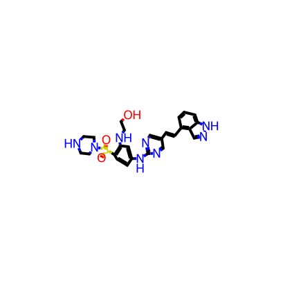 O=S(=O)(c1ccc(Nc2ncc(/C=C/c3cccc4[nH]ncc34)cn2)cc1NCCO)N1CCNCC1